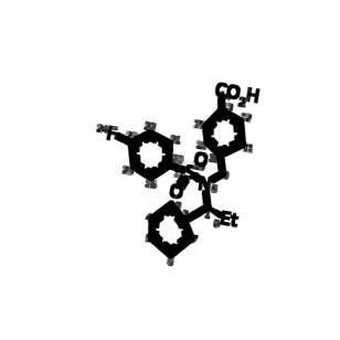 CC[C@@H](c1ccccc1)N(Cc1ccc(C(=O)O)cc1)S(=O)(=O)c1ccc(F)cc1